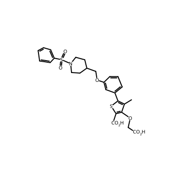 Cc1c(-c2cccc(OCC3CCN(S(=O)(=O)c4ccccc4)CC3)c2)sc(C(=O)O)c1OCC(=O)O